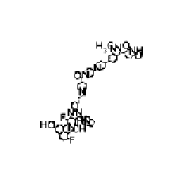 C#Cc1c(F)ccc2cc(O)cc(-c3ncc4c(N5CC6CCC(C5)N6)nc(OCCCN5CCC(C(=O)N6CCC(N7CCC(c8ccc9c(C%10CCC(=O)NC%10=O)nn(C)c9c8)CC7)CC6)CC5)nc4c3F)c12